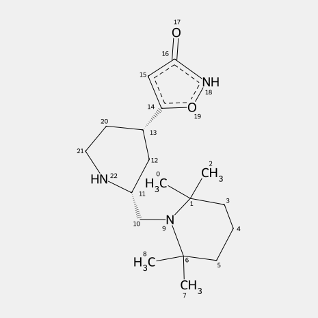 CC1(C)CCCC(C)(C)N1C[C@H]1C[C@@H](c2cc(=O)[nH]o2)CCN1